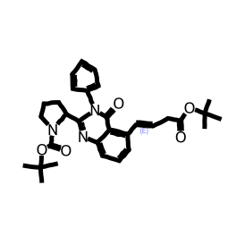 CC(C)(C)OC(=O)C/C=C/c1cccc2nc(C3CCCN3C(=O)OC(C)(C)C)n(-c3ccccc3)c(=O)c12